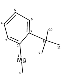 [CH3][Mg][c]1ccccc1C(C)(C)C